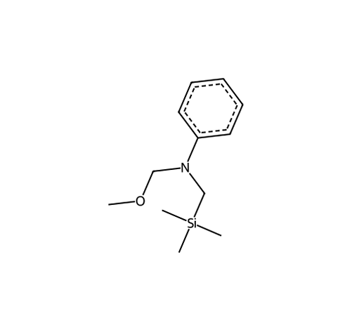 COCN(C[Si](C)(C)C)c1ccccc1